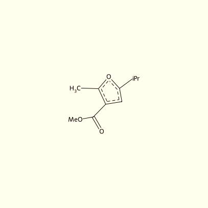 COC(=O)c1cc(C(C)C)oc1C